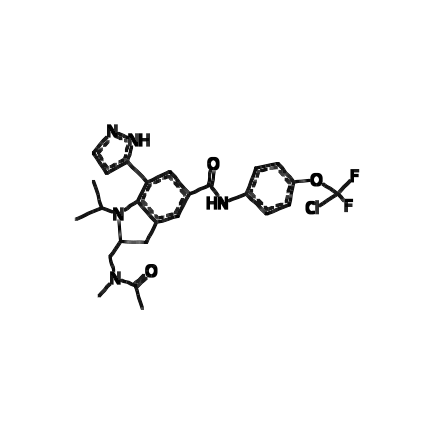 CC(=O)N(C)CC1Cc2cc(C(=O)Nc3ccc(OC(F)(F)Cl)cc3)cc(-c3ccn[nH]3)c2N1C(C)C